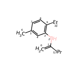 C=C(Bc1cc(C)ccc1CC)C(C)C